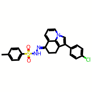 Cc1ccc(S(=O)(=O)NN=C2CCc3c(-c4ccc(Cl)cc4)cn4cccc2c34)cc1